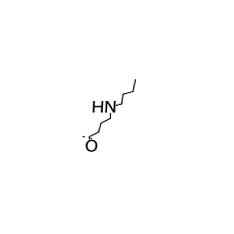 CCCCNCCC[C]=O